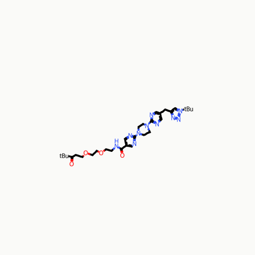 CC(C)(C)C(=O)CCOCCOCCNC(=O)c1cnc(N2CCN(c3ncc(Cc4cn(C(C)(C)C)nn4)cn3)CC2)nc1